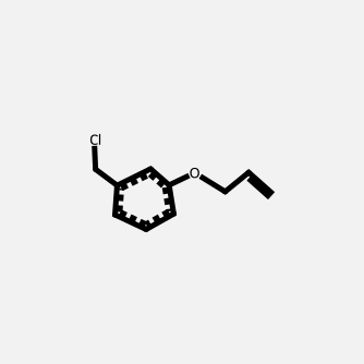 C=CCOc1cccc(CCl)c1